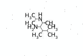 CC(C)N[C@@H](C)C(N)C(C)C(C)C